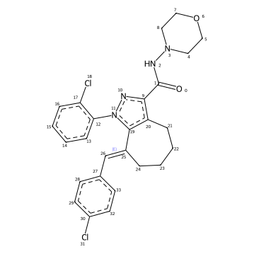 O=C(NN1CCOCC1)c1nn(-c2ccccc2Cl)c2c1CCCC/C2=C\c1ccc(Cl)cc1